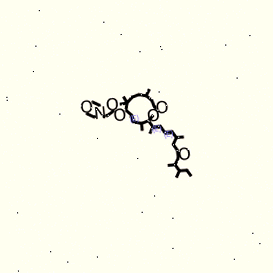 CCC(C)C(C)C1OC1CC(C)/C=C/C=C(\C)C1OC(=O)CC(C)CCC(C)(C)C(OC(=O)CN2CCOCC2)/C=C/C1C